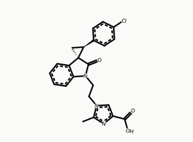 Cc1nc(C(=O)O)cn1CCN1C(=O)[C@@]2(C[C@H]2c2ccc(Cl)cc2)c2ccccc21